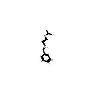 CC(C)OCCOCc1cc[c]cc1